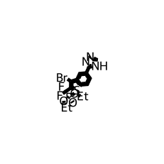 CCOP(=O)(OCC)C(F)(F)c1sc2ccc(-c3nnc[nH]3)cc2c1Br